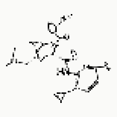 CN(C)C[C@]12CC1N(C(=O)OC(C)(C)C)[C@H](C(=O)Nc1nc(Br)ccc1C1CC1)C2